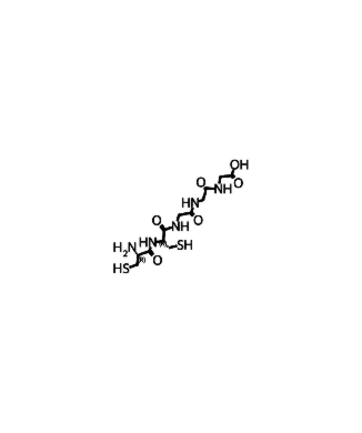 N[C@@H](CS)C(=O)N[C@@H](CS)C(=O)NCC(=O)NCC(=O)NCC(=O)O